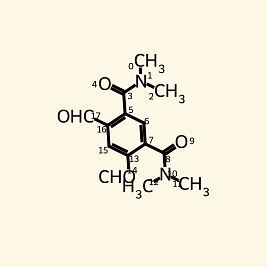 CN(C)C(=O)c1cc(C(=O)N(C)C)c(C=O)cc1C=O